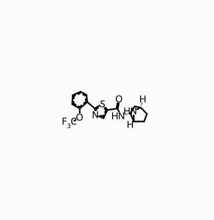 O=C(N[C@@H]1C[C@H]2CC[C@@H]1N2)c1cnc(-c2ccccc2OC(F)(F)F)s1